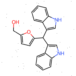 OCc1ccc(C(c2c[nH]c3ccccc23)c2c[nH]c3ccccc23)o1